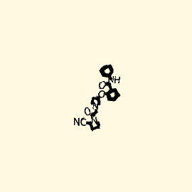 N#CC1CCCN1C(=O)CN1CC[C@H](Oc2ccccc2C(=O)Nc2ccccc2)C1